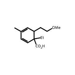 CCC1(C(=O)O)C=CC(C)=CC1CCOC